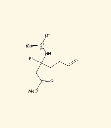 C=CCCC(CC)(CC(=O)OC)N[S@+]([O-])C(C)(C)C